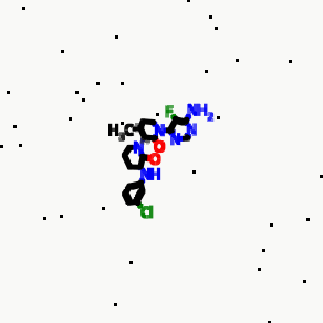 C[C@H]1CCN(c2ncnc(N)c2F)C(=O)[C@@H]1N1CCCC(Nc2cccc(Cl)c2)C1=O